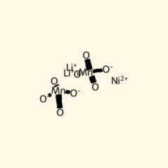 [Li+].[Li+].[Ni+2].[O]=[Mn](=[O])([O-])[O-].[O]=[Mn](=[O])([O-])[O-]